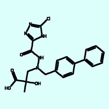 CC(O)(CN(Cc1ccc(-c2ccccc2)cc1)NC(=O)c1nnc(Cl)[nH]1)C(=O)O